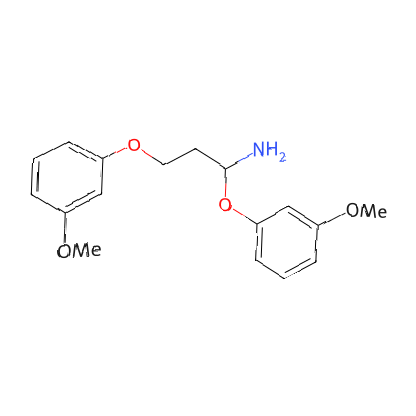 COc1cccc(OCCC(N)Oc2cccc(OC)c2)c1